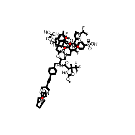 COC(=O)N[C@H](C(=O)N[C@@H](Cc1ccc(C#Cc2cnc(N3CC4CCC(C3)N4C3COC3)nc2)cc1)[C@H](CN(Cc1c(F)cc(-c2ccn(C(F)F)n2)cc1F)NC(=O)[C@@H](NC(=O)OC)C(C)(C)C(F)(F)F)OC(=O)CC(C)(C)c1c(CC(=O)Nc2ccc(S(=O)(=O)O)cc2)cc(C)cc1OP(=O)(O)O)C(C)(C)C(F)(F)F